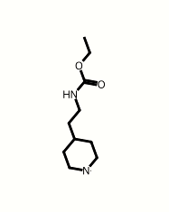 CCOC(=O)NCCC1CC[N]CC1